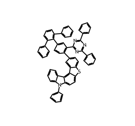 c1ccc(-c2nc(-c3ccccc3)nc(-c3cc(-c4c(-c5ccccc5)cccc4-c4ccccc4)ccc3-c3ccc4sc5ccc6c(c7ccccc7n6-c6ccccc6)c5c4c3)n2)cc1